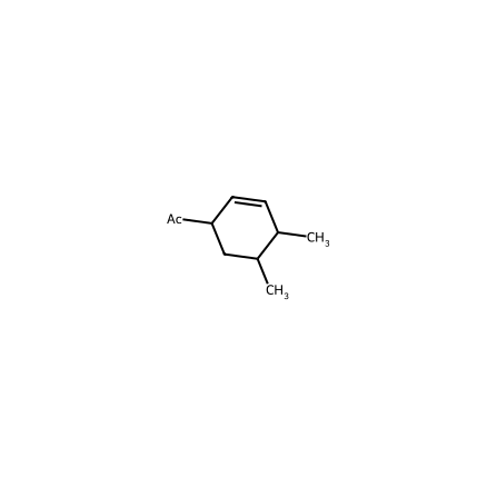 CC(=O)C1C=CC(C)C(C)C1